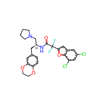 O=C(N[C@@H](Cc1ccc2c(c1)OCCO2)CN1CCCC1)C(F)(F)c1cc2cc(Cl)cc(Cl)c2o1